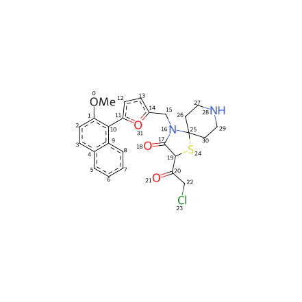 COc1ccc2ccccc2c1-c1ccc(CN2C(=O)C(C(=O)CCl)SC23CCNCC3)o1